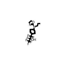 CCCN(C1=NCCO1)c1ccc(C(F)(F)C(O)(F)C(F)(F)F)cc1